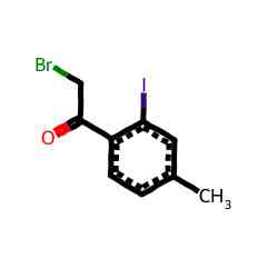 Cc1ccc(C(=O)CBr)c(I)c1